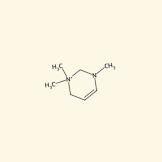 CN1C=CC[N+](C)(C)C1